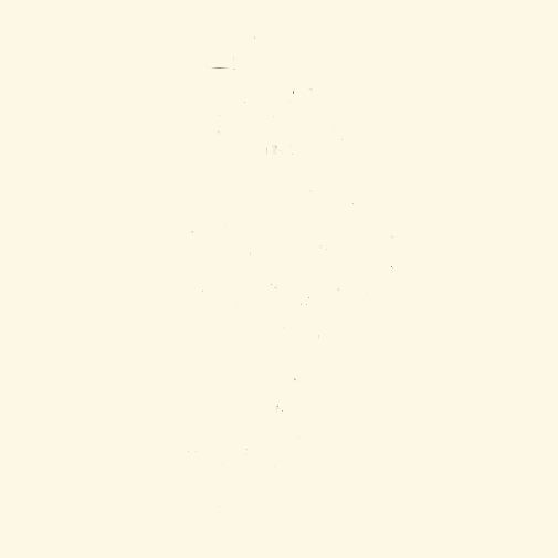 COC(=O)C1CCN(CCC[S@@](=O)(=NC(=O)c2cncc(-c3cccc(NC(=O)c4occc4C)c3)c2)C2C=CC=CC2)C1